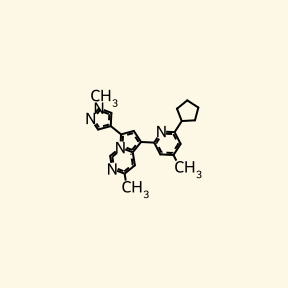 Cc1cc(-c2cc(-c3cnn(C)c3)n3cnc(C)cc23)nc(C2CCCC2)c1